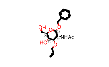 C=CCO[C@H]1[C@H](O)[C@@H](CO)O[C@H](OCc2ccccc2)[C@@H]1NC(C)=O